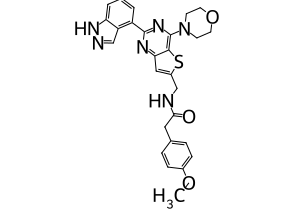 COc1ccc(CC(=O)NCc2cc3nc(-c4cccc5[nH]ncc45)nc(N4CCOCC4)c3s2)cc1